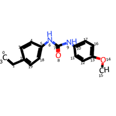 CCc1ccc(NC(=O)Nc2ccc(OC)cc2)cc1